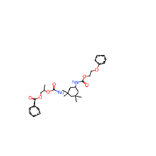 CC(COC(=O)c1ccccc1)OC(=O)NCC1(C)CC(NC(=O)OCCOc2ccccc2)CC(C)(C)C1